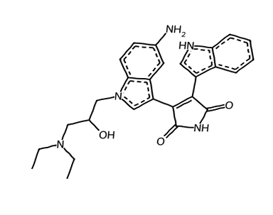 CCN(CC)CC(O)Cn1cc(C2=C(c3c[nH]c4ccccc34)C(=O)NC2=O)c2cc(N)ccc21